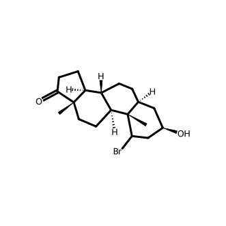 C[C@]12C(Br)C[C@H](O)C[C@@H]1CC[C@@H]1[C@@H]2CC[C@]2(C)C(=O)CC[C@@H]12